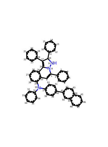 C1=C(c2ccccc2)N2NC(c3ccccc3)C(c3ccccc3)=C2c2cccc(N(c3ccccc3)c3ccc(-c4ccc5ccccc5c4)cc3)c21